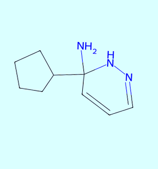 NC1(C2CCCC2)C=CC=NN1